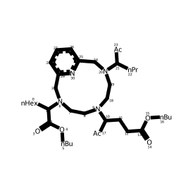 CCCCCCC(C(=O)OCCCC)N1CCN(C(CCC(=O)OCCCC)C(C)=O)CCN(C(CCC)C(C)=O)Cc2cccc(n2)C1